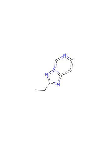 CCc1nc2ccncn2n1